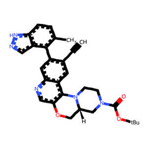 C#Cc1cc2c3c(cnc2cc1-c1c(C)ccc2[nH]ncc12)OC[C@H]1CN(C(=O)OC(C)(C)C)CCN31